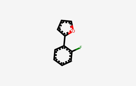 Fc1[c]cccc1-c1ccco1